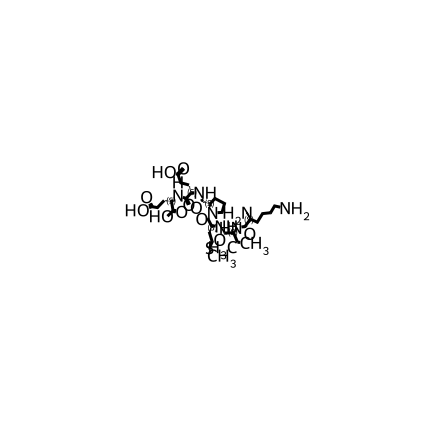 CSCC[C@H](NC(=O)[C@@H](NC(=O)[C@@H](N)CCCCN)C(C)C)C(=O)N1CCC[C@H]1C(=O)N[C@@H](CCC(=O)O)C(=O)N[C@@H](CCC(=O)O)C(=O)O